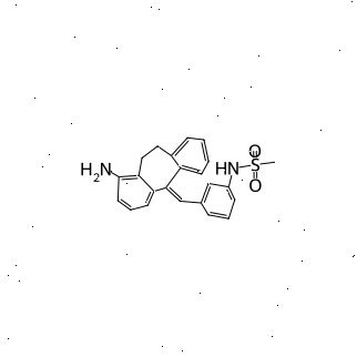 CS(=O)(=O)Nc1cccc(/C=C2\c3ccccc3CCc3c(N)cccc32)c1